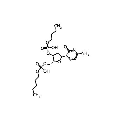 CCCCCOP(=O)(O)OC[C@H]1O[C@@H](n2ccc(N)nc2=O)C[C@@H]1OP(=O)(O)OCCCC